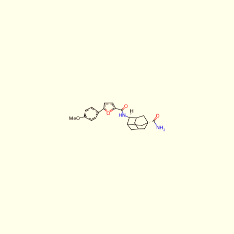 COc1ccc(-c2ccc(C(=O)N[C@H]3C4CC5CC3C[C@](C(N)=O)(C5)C4)o2)cc1